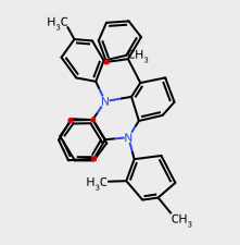 Cc1ccc(N(c2ccccc2)c2cccc(-c3ccccc3)c2N(c2ccccc2)c2ccc(C)cc2C)c(C)c1